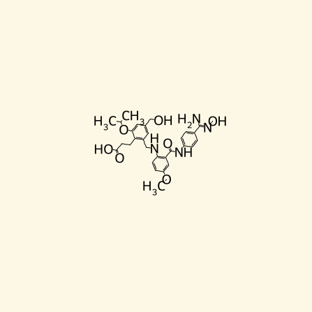 COc1ccc(NCc2cc(CO)cc(OC(C)C)c2CCC(=O)O)c(C(=O)Nc2ccc(/C(N)=N/O)cc2)c1